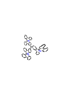 c1ccc2c(c1)B1c3ccc(B(c4ccc5c(c4)-c4ccccc4B4c6ccccc6-c6ccccc6N45)c4ccc5c(c4)-c4ccccc4B4c6ccccc6-c6ccccc6N45)cc3-c3ccccc3N1c1ccccc1-2